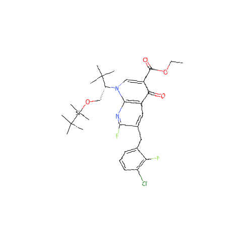 CCOC(=O)c1cn([C@H](CO[Si](C)(C)C(C)(C)C)C(C)(C)C)c2nc(F)c(Cc3cccc(Cl)c3F)cc2c1=O